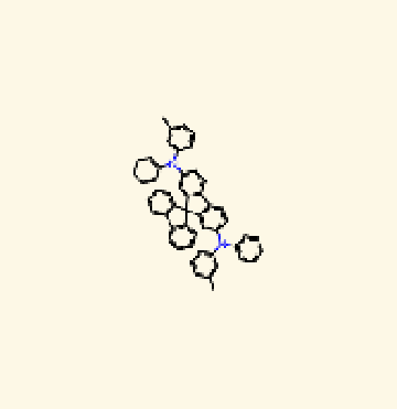 Cc1cccc(N(C2=CCCC=C2)c2ccc3c(c2)C2(c4ccccc4-c4ccccc42)c2cc(N(c4ccccc4)c4cccc(C)c4)ccc2-3)c1